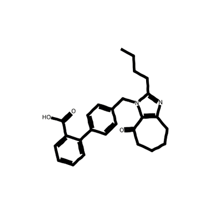 CCCCc1nc2c(n1Cc1ccc(-c3ccccc3C(=O)O)cc1)C(=O)CCCC2